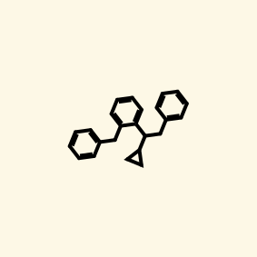 c1ccc(C[C](c2ccccc2Cc2ccccc2)C2CC2)cc1